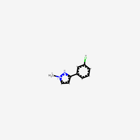 Cn1ccc(-c2cccc(Cl)c2)n1